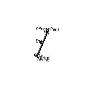 CCCCCC(CCCCC)CC(=O)OCCCCCCCCC(CCCCCCCCOC(=O)CC(CCCCC)CCCCC)CN(C)CC